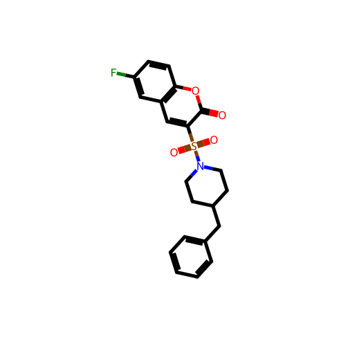 O=c1oc2ccc(F)cc2cc1S(=O)(=O)N1CCC(Cc2ccccc2)CC1